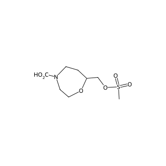 CS(=O)(=O)OCC1CCN(C(=O)O)CCO1